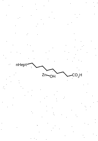 CCCCCCCCCCCCCCCC(=O)O.[OH][Zn]